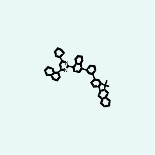 CC1(C)c2cc(-c3cccc(-c4ccc(-c5nc(-c6ccccc6)cc(-c6cccc7ccccc67)n5)c5ccccc45)c3)ccc2-c2cc3ccccc3cc21